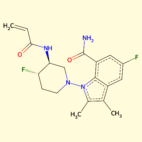 C=CC(=O)N[C@H]1CN(n2c(C)c(C)c3cc(F)cc(C(N)=O)c32)CC[C@@H]1F